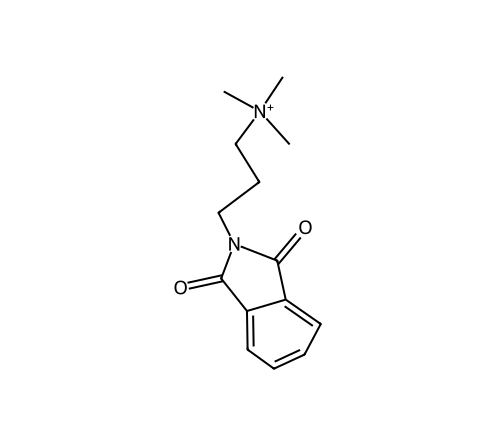 C[N+](C)(C)CCCN1C(=O)c2ccccc2C1=O